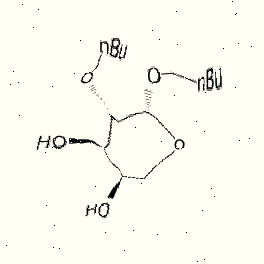 CCCCO[C@@H]1OC[C@@H](O)[C@@H](O)[C@@H]1OCCCC